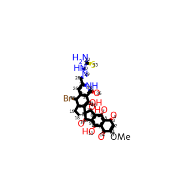 COC1=CC(=O)c2c(O)c3c(c(O)c2C1=O)C(=O)[C@]1(CCC2C1=C(O)c1c(cc(C=NNC(N)=S)[nH]c1=O)C2Br)C3=O